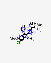 C=C(OC)[C@H](c1nc(-c2c(-n3ccnc3)c3nc(OC)c(Cl)cc3n2C)n[nH]1)N(C)C